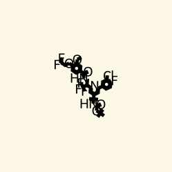 COc1cc(C(=O)NCC(c2cc(C(C)(C)NC(=O)OC(C)(C)C)cc(-c3ccc(F)c(Cl)c3)n2)C(F)(F)F)ccc1OCC(F)F